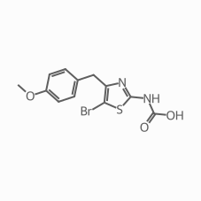 COc1ccc(Cc2nc(NC(=O)O)sc2Br)cc1